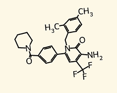 Cc1ccc(Cn2c(-c3ccc(C(=O)N4CCCCC4)cc3)cc(C(F)(F)F)c(N)c2=O)c(C)c1